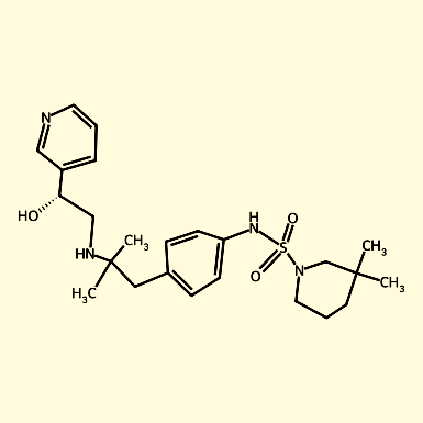 CC1(C)CCCN(S(=O)(=O)Nc2ccc(CC(C)(C)NC[C@H](O)c3cccnc3)cc2)C1